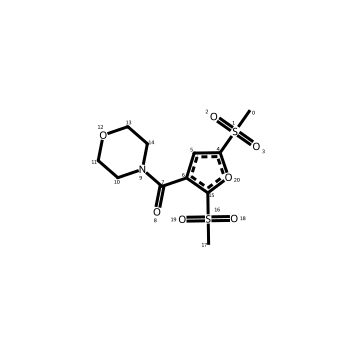 CS(=O)(=O)c1cc(C(=O)N2CCOCC2)c(S(C)(=O)=O)o1